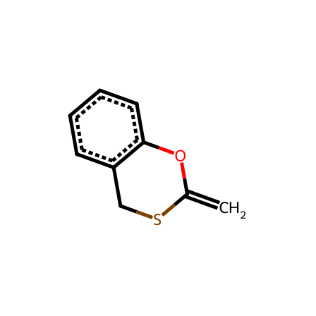 C=C1Oc2ccccc2CS1